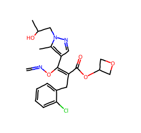 C=NO/C(=C(\Cc1ccccc1Cl)C(=O)OC1COC1)c1cnn(CC(C)O)c1C